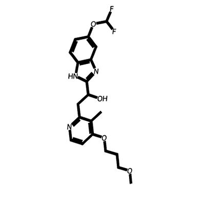 COCCCOc1ccnc(CC(O)c2nc3cc(OC(F)F)ccc3[nH]2)c1C